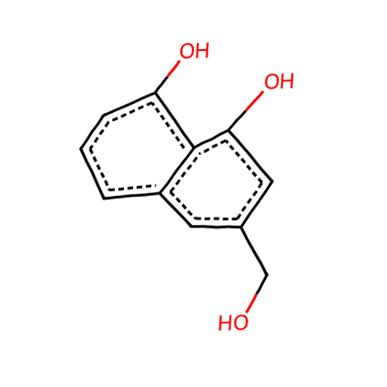 OCc1cc(O)c2c(O)cccc2c1